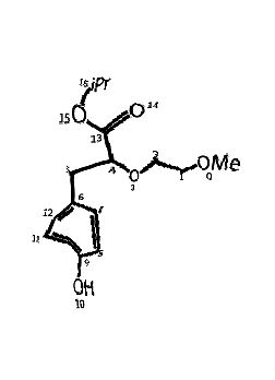 COCCOC(Cc1ccc(O)cc1)C(=O)OC(C)C